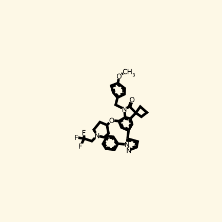 COc1ccc(CN2C(=O)C3(CCC3)c3cc(-c4ccnn4-c4ccccc4)cc(OC4CCN(CC(F)(F)F)CC4)c32)cc1